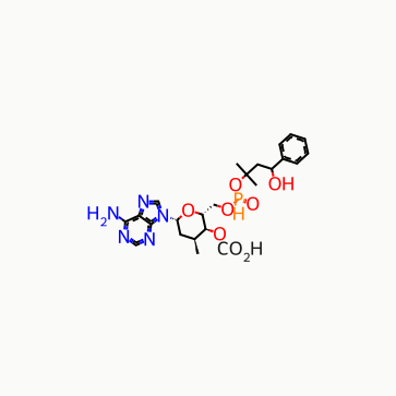 C[C@H]1C[C@H](n2cnc3c(N)ncnc32)O[C@H](CO[PH](=O)OC(C)(C)CC(O)c2ccccc2)[C@H]1OC(=O)O